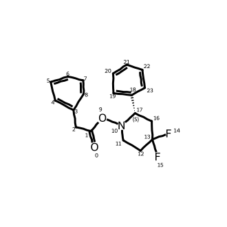 O=C(Cc1ccccc1)ON1CCC(F)(F)C[C@H]1c1ccccc1